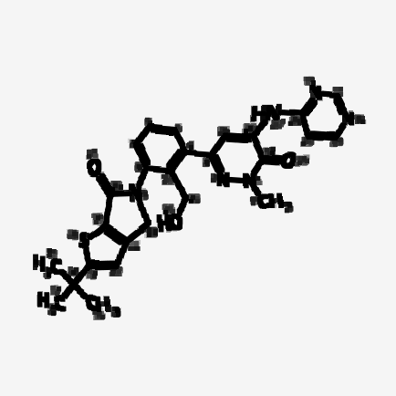 Cn1nc(-c2cccc(N3Cc4cc(C(C)(C)C)sc4C3=O)c2CO)cc(Nc2ccncn2)c1=O